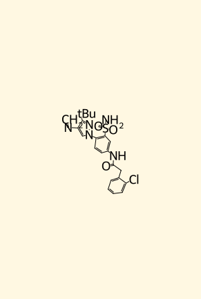 C=Nc1cn(-c2ccc(NC(=O)Cc3ccccc3Cl)cc2S(N)(=O)=O)nc1C(C)(C)C